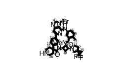 CNC(=O)c1cc(Nc2nc(-c3ccc4c(c3)N([C@H]3C[C@@H](N5CCC6(C5)CC6(F)F)C3)C(=O)C43CCNCC3)cc3ncn(C(C)C)c23)ccc1C